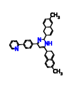 CC1=CC2C=CC(C3N=C(c4ccc(-c5ccccn5)cc4)C=C(C4C=c5ccc(C)cc5=CC4)N3)CC2C=C1